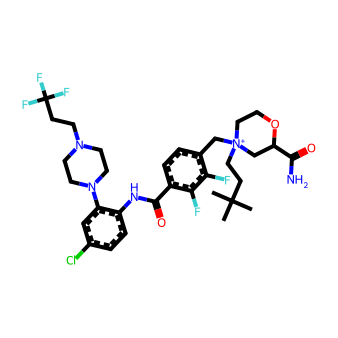 CC(C)(C)CC[N+]1(Cc2ccc(C(=O)Nc3ccc(Cl)cc3N3CCN(CCC(F)(F)F)CC3)c(F)c2F)CCOC(C(N)=O)C1